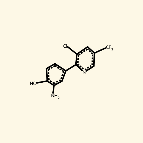 N#Cc1ccc(-c2ncc(C(F)(F)F)cc2Cl)cc1N